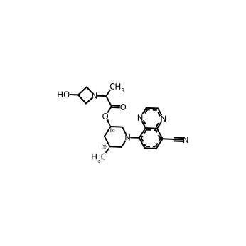 CC(C(=O)O[C@@H]1C[C@H](C)CN(c2ccc(C#N)c3nccnc23)C1)N1CC(O)C1